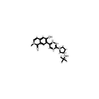 Cn1ccc2cc(O)c(-c3cnc(N4CC[C@H](NC(C)(C)C)C4)nn3)cc2c1=O